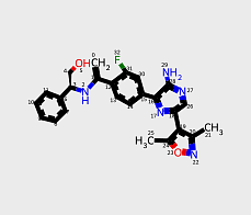 C=C(N[C@H](CO)c1ccccc1)c1ccc(-c2nc(-c3c(C)noc3C)cnc2N)cc1F